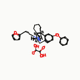 O=C(O)C(=O)O.c1ccc(Oc2ccc3c(c2)[C@@]24CCCC[C@H]2[C@@H](C3)N(CCc2ccco2)CC4)cc1